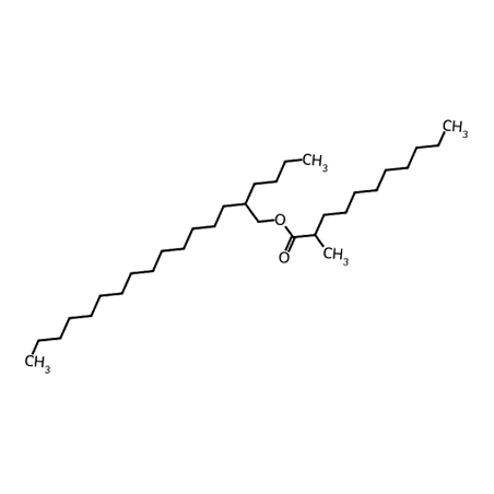 CCCCCCCCCCCCCCC(CCCC)COC(=O)C(C)CCCCCCCCC